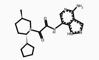 C[C@@H]1CC[C@@H](C2CCCC2)N(C(=O)C(=O)Nc2cnc(N)c3cn[nH]c23)C1